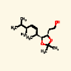 CC(C)[C@H](C)/C=C\C(C)[C@H]1OC(C)(C)O[C@H]1CCO